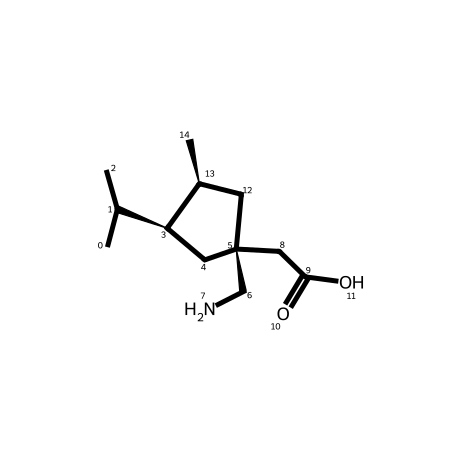 CC(C)[C@@H]1C[C@@](CN)(CC(=O)O)C[C@@H]1C